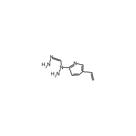 C=Cc1ccc(N(N)/C=N\N)nc1